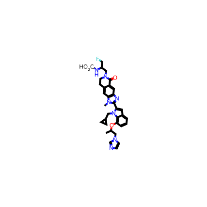 CC(Cn1ccnc1)Oc1cccc2cc(-c3nc4cc5c(cc4n3C)CCN(CC(CF)NC(=O)O)C5=O)n(CC3CC3)c12